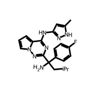 Cc1cc(Nc2nc(C(N)(CC(C)C)c3ccc(F)cc3)nn3cccc23)n[nH]1